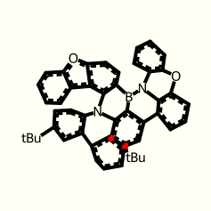 CC(C)(C)c1ccc(N2c3cc(C(C)(C)C)cc4c3B(c3ccc5oc6ccccc6c5c32)N2c3ccccc3Oc3cccc-4c32)c(-c2ccccc2)c1